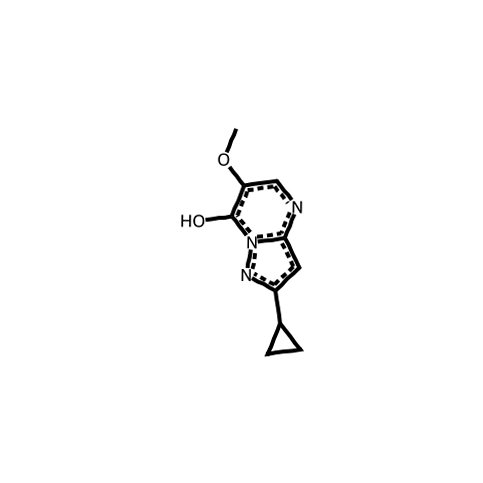 COc1cnc2cc(C3CC3)nn2c1O